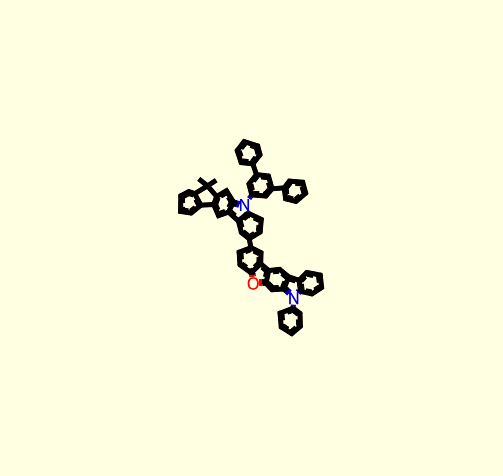 CC1(C)c2ccccc2-c2cc3c4cc(-c5ccc6oc7cc8c(cc7c6c5)c5ccccc5n8-c5ccccc5)ccc4n(-c4cc(-c5ccccc5)cc(-c5ccccc5)c4)c3cc21